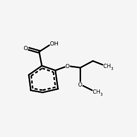 CCC(OC)Oc1ccccc1C(=O)O